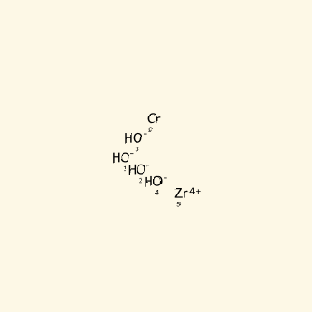 [Cr].[OH-].[OH-].[OH-].[OH-].[Zr+4]